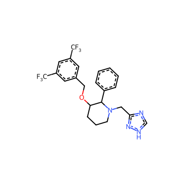 FC(F)(F)c1cc(COC2CCCN(Cc3nc[nH]n3)C2c2ccccc2)cc(C(F)(F)F)c1